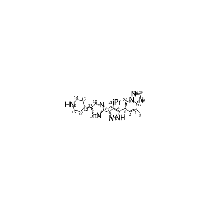 Cc1cc(-c2[nH]nc(-c3ncc(C4CCNCC4)cn3)c2C(C)C)cn2ncnc12